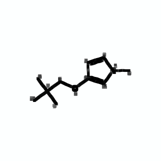 Cn1ccc(OCC(C)(C)C)c1